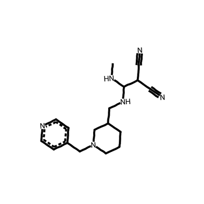 CNC(NCC1CCCN(Cc2ccncc2)C1)C(C#N)C#N